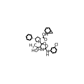 CC(O)C(NC(=O)Nc1cccc(Cl)c1)C(=O)N1C[C@H](c2ccccc2)C[C@@H]1C(=O)O.c1ccc2c(c1)C2